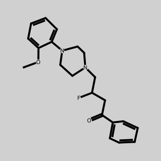 COc1ccccc1N1CCN(CC(F)CC(=O)c2ccccc2)CC1